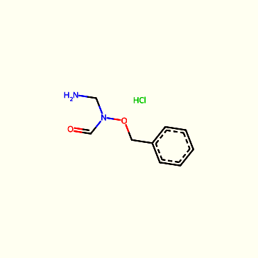 Cl.NCN(C=O)OCc1ccccc1